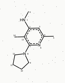 CNc1cc(C)nc(N2CCCC2)c1C